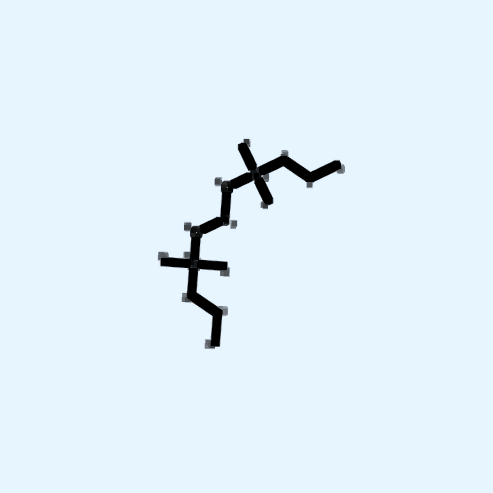 CCC[Si](C)(C)OSO[Si](C)(C)CCC